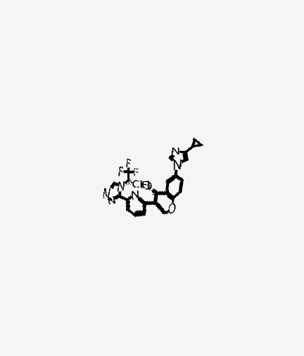 C[C@H](n1cnnc1-c1cccc(-c2coc3ccc(-n4cnc(C5CC5)c4)cc3c2=O)n1)C(F)(F)F